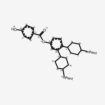 CCCCCC1CCC(c2ccc(OC(=O)c3ccc(O)cc3)cc2C2CCC(CCCCC)CC2)CC1